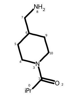 CC(C)C(=O)N1CCC(CN)CC1